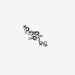 CC(C)(C)OC(=O)N1CC(CCC(Nc2cccc([S+]([O-])NC(=O)c3ccc(C(C)(C)C)nc3F)n2)c2ccc(Cl)cn2)CC1(C)C